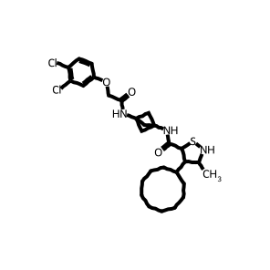 CC1NSC(C(=O)NC23CC(NC(=O)COc4ccc(Cl)c(Cl)c4)(C2)C3)C1C1CCCCCCCCC1